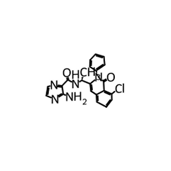 C[C@H](NC(=O)c1nccnc1N)c1cc2cccc(Cl)c2c(=O)n1-c1ccccc1